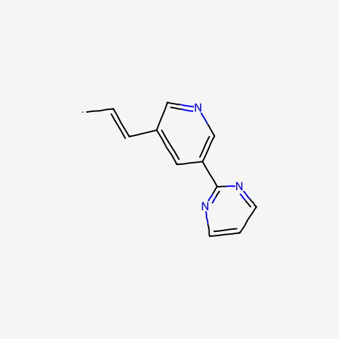 [CH2]C=Cc1cncc(-c2ncccn2)c1